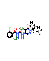 CC(C)(C)n1ncc(NC(=O)NC(=O)c2c(F)cccc2Cl)c(Cl)c1=O